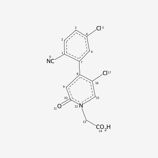 N#Cc1ccc(Cl)cc1-c1cc(=O)n(CC(=O)O)cc1Cl